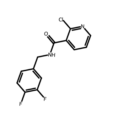 O=C(NCc1ccc(F)c(F)c1)c1cccnc1Cl